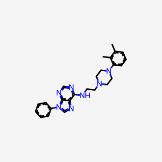 Cc1cccc(N2CCN(CCNc3ncnc4c3ncn4-c3ccccc3)CC2)c1C